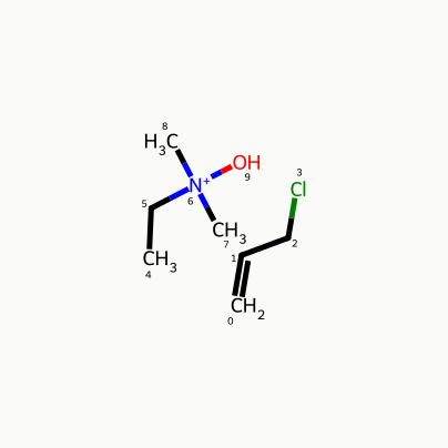 C=CCCl.CC[N+](C)(C)O